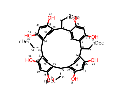 CCCCCCCCCCCC1c2cc(c(O)cc2O)C(CCCCCCCCCCC)c2cc(c(O)cc2O)[C@H](CCCCCCCCCCC)c2cc(c(O)cc2O)[C@H](CCCCCCCCCCC)c2cc1c(O)cc2O